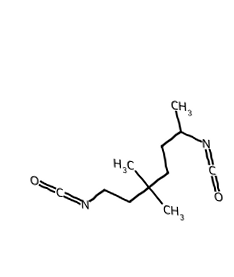 CC(CCC(C)(C)CCN=C=O)N=C=O